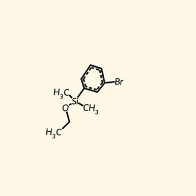 CCO[Si](C)(C)c1cccc(Br)c1